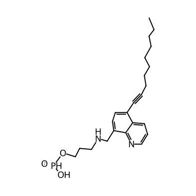 CCCCCCCCC#Cc1ccc(CNCCCO[PH](=O)O)c2ncccc12